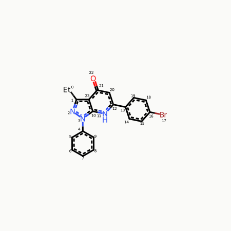 CCc1nn(-c2ccccc2)c2[nH]c(-c3ccc(Br)cc3)cc(=O)c12